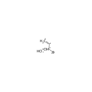 Cl.Cl.[B]CC=C